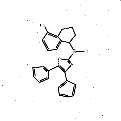 CCN(c1nc(-c2ccccc2)c(-c2ccccc2)o1)C1CCCc2c(O)cccc21